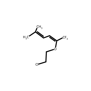 CC(C)=CC=C(OCCCl)C(F)(F)F